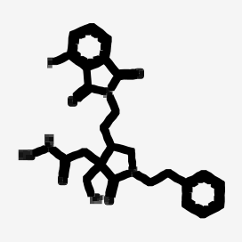 CC(C)CC1(CC(=O)NO)C(=O)N(CCc2ccccc2)CC1CCN1C(=O)c2cccc(F)c2C1=O